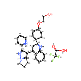 O=C(O)C(F)(F)F.OCCOc1ccc(-c2cc(-c3c(-c4ccccn4)nn4c3CCC4)c3ccccc3n2)cc1